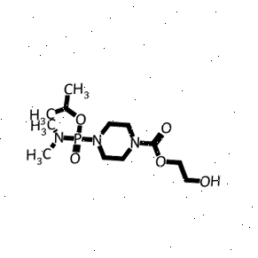 CC(C)OP(=O)(N(C)C)N1CCN(C(=O)OCCO)CC1